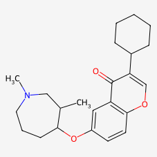 CC1CN(C)CCCC1Oc1ccc2occ(C3CCCCC3)c(=O)c2c1